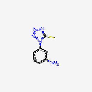 Nc1cccc(-n2nnnc2[S])c1